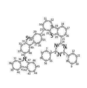 c1ccc(-c2nc(-c3ccccc3)nc(-c3cccc4c3sc3c(-c5ccc6c(c5)sc5ccc(-n7c8ccccc8c8ccccc87)cc56)cccc34)n2)cc1